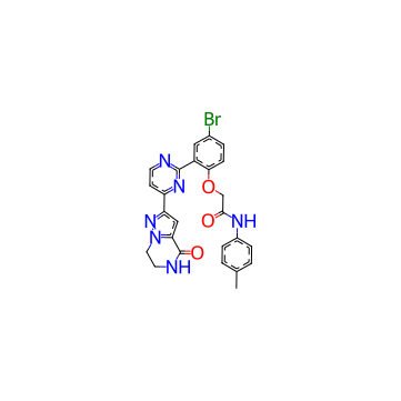 Cc1ccc(NC(=O)COc2ccc(Br)cc2-c2nccc(-c3cc4n(n3)CCNC4=O)n2)cc1